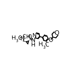 Cc1cc(-c2ccnc(NC(=O)[C@@H]3C[C@H]3CN(C)C)c2)ccc1OC1CCOCC1